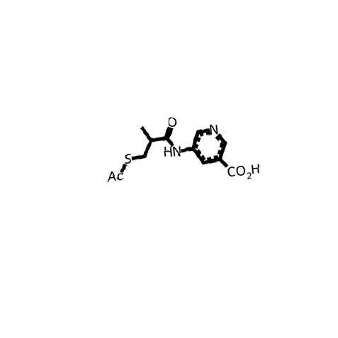 CC(=O)SCC(C)C(=O)Nc1cncc(C(=O)O)c1